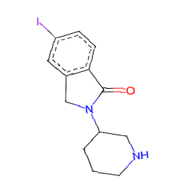 O=C1c2ccc(I)cc2CN1C1CCCNC1